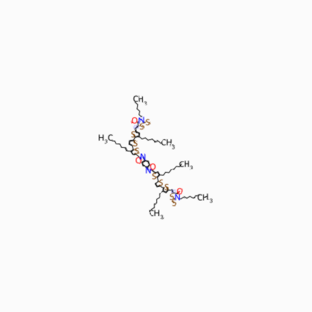 CCCCCCCCc1cc(/C=C2\SC(=S)N(CCCCCCC)C2=O)sc1-c1ccc(-c2sc(-c3nc4cc5oc(-c6cc(CCCCCCCC)c(-c7ccc(-c8sc(/C=C9\SC(=S)N(CCCCCCC)C9=O)cc8CCCCCCCC)s7)s6)nc5cc4o3)cc2CCCCCCCC)s1